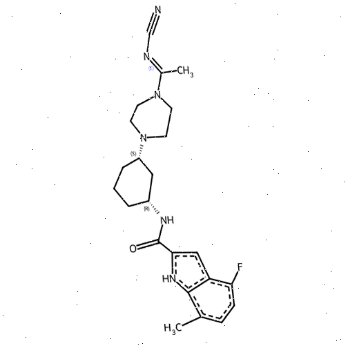 C/C(=N\C#N)N1CCN([C@H]2CCC[C@@H](NC(=O)c3cc4c(F)ccc(C)c4[nH]3)C2)CC1